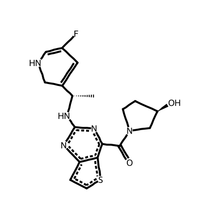 C[C@H](Nc1nc(C(=O)N2CC[C@@H](O)C2)c2sccc2n1)C1=CC(F)=CNC1